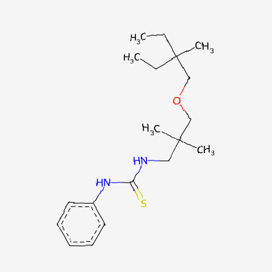 CCC(C)(CC)COCC(C)(C)CNC(=S)Nc1ccccc1